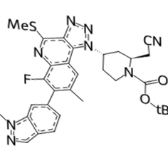 CSc1nc2c(F)c(-c3ccc4cnn(C)c4c3)c(C)cc2c2c1nnn2[C@H]1CCN(C(=O)OC(C)(C)C)[C@H](CC#N)C1